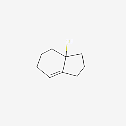 SC12CCCC=C1CCC2